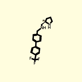 FC(F)(F)c1ccc(-c2ccc(CNC[C@H]3CCCN3)cc2)cc1